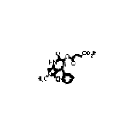 Cc1c2c(cn1C)NC(=O)C(OC(=O)CCC(=O)O)N=C2c1ccccc1